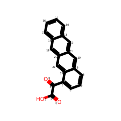 O=C(O)C(=O)c1cccc2cc3cc4ccccc4cc3cc12